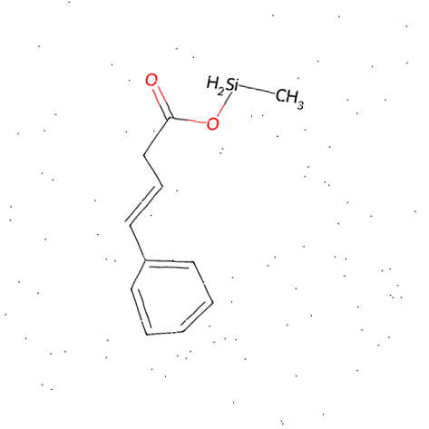 C[SiH2]OC(=O)CC=Cc1ccccc1